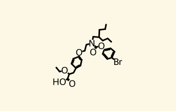 CCCC(CCC)CN(CCOc1ccc(CC(OCC)C(=O)O)cc1)C(=O)Oc1ccc(Br)cc1